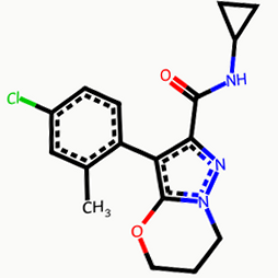 Cc1cc(Cl)ccc1-c1c(C(=O)NC2CC2)nn2c1OCCC2